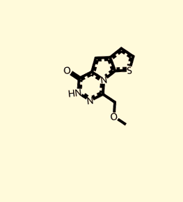 COCc1n[nH]c(=O)c2cc3ccsc3n12